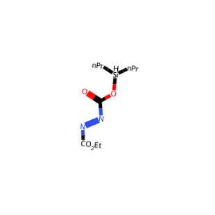 CCC[SiH](CCC)OC(=O)N=NC(=O)OCC